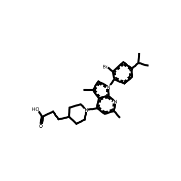 Cc1cc(N2CCC(CCC(=O)O)CC2)c2c(C)cn(-c3ccc(C(C)C)cc3Br)c2n1